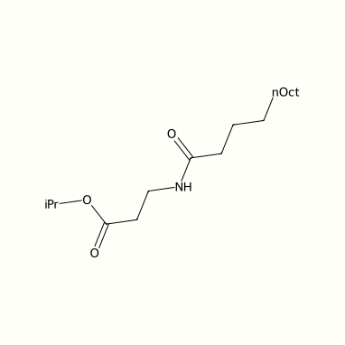 CCCCCCCCCCCC(=O)NCCC(=O)OC(C)C